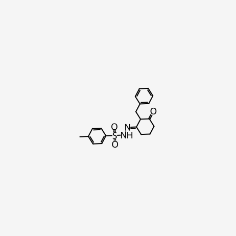 Cc1ccc(S(=O)(=O)N/N=C2\CCCC(=O)C2Cc2ccccc2)cc1